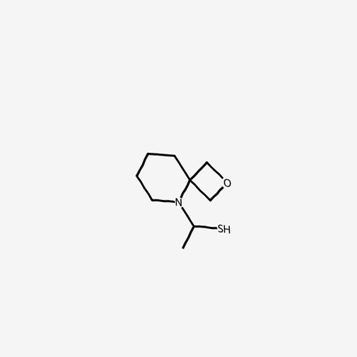 CC(S)N1CCCCC12COC2